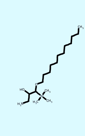 CCCCCCCCCCCCOC(C(O)CN)[N+](C)(C)C